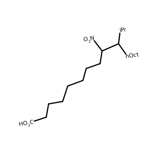 CCCCCCCCC(C(C)C)C(CCCCCCCC(=O)O)[N+](=O)[O-]